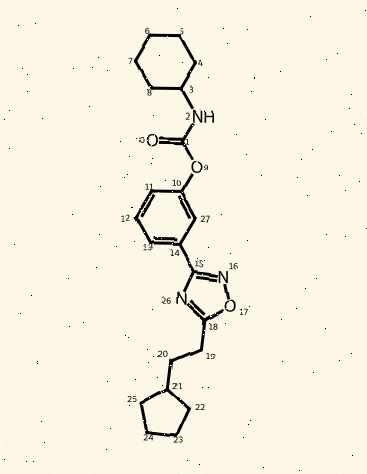 O=C(NC1CCCCC1)Oc1cccc(-c2noc(CCC3CCCC3)n2)c1